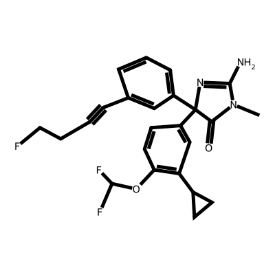 CN1C(=O)C(c2cccc(C#CCCF)c2)(c2ccc(OC(F)F)c(C3CC3)c2)N=C1N